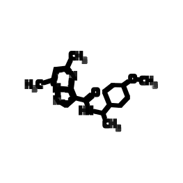 COC1CCC(C(C)NC(=O)c2cnn3c(C)cc(C)nc23)CC1